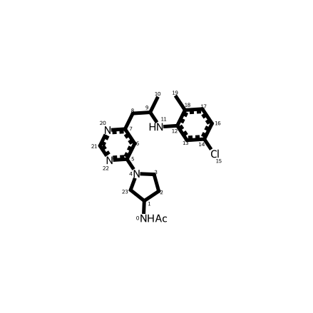 CC(=O)NC1CCN(c2cc(CC(C)Nc3cc(Cl)ccc3C)ncn2)C1